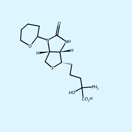 O=C1N[C@@H]2[C@H](CCCC(O)(P)C(=O)O)SC[C@@H]2N1C1CCCCO1